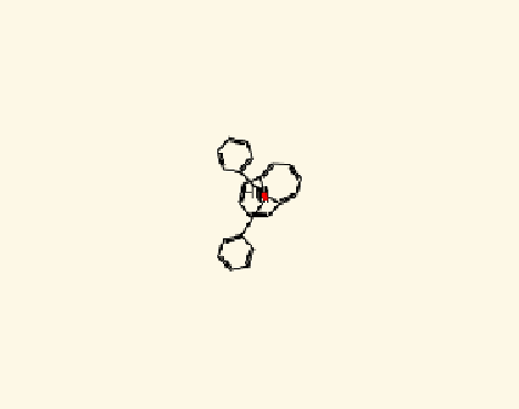 C1=CC=C2C=CC=CC(=C1)C21N=C(c2ccccc2)NN1c1ccccc1